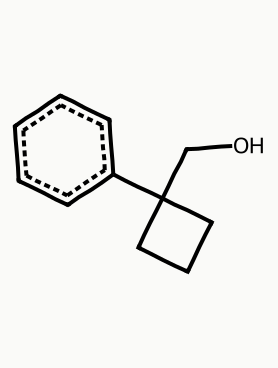 OCC1(c2ccccc2)CCC1